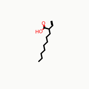 C=CC(CCCCCCCC)C(=O)O